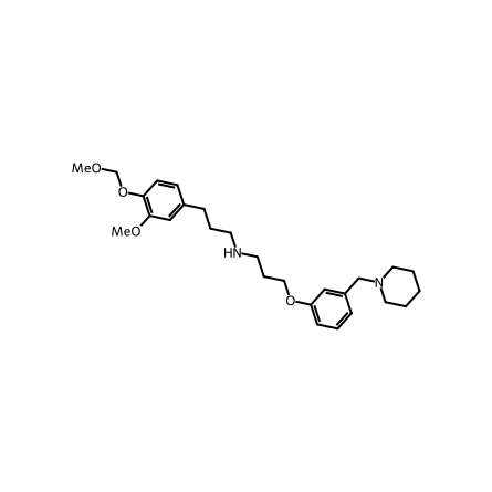 COCOc1ccc(CCCNCCCOc2cccc(CN3CCCCC3)c2)cc1OC